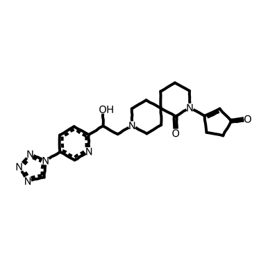 O=C1C=C(N2CCCC3(CCN(CC(O)c4ccc(-n5cnnn5)cn4)CC3)C2=O)CC1